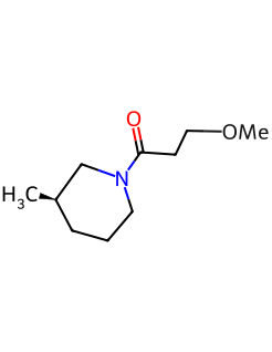 COCCC(=O)N1CCC[C@@H](C)C1